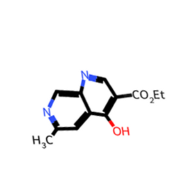 CCOC(=O)c1cnc2cnc(C)cc2c1O